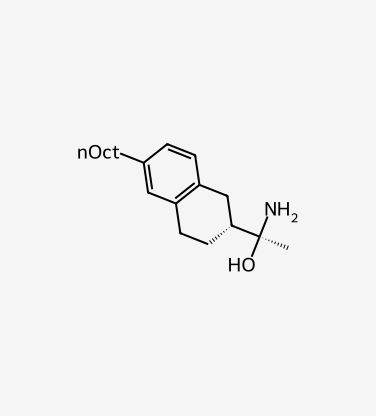 CCCCCCCCc1ccc2c(c1)CC[C@@H]([C@@](C)(N)O)C2